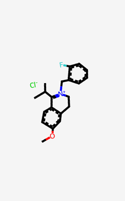 COc1ccc2c(c1)CC[N+](Cc1ccccc1F)=C2C(C)C.[Cl-]